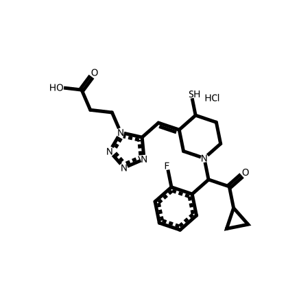 Cl.O=C(O)CCn1nnnc1/C=C1\CN(C(C(=O)C2CC2)c2ccccc2F)CCC1S